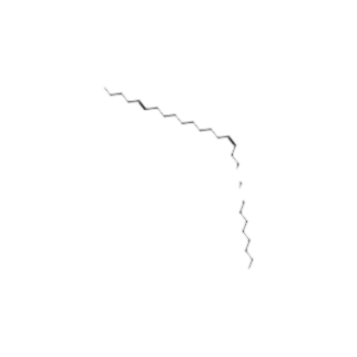 CCCC/C=C/CCCCCCCC/C=C\CCOCOCCCCCCCC